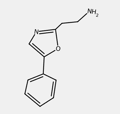 NCCc1ncc(-c2ccccc2)o1